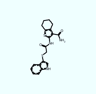 NC(=O)c1c(NC(=O)CSc2c[nH]c3ccccc23)sc2c1CCCC2